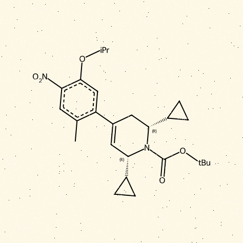 Cc1cc([N+](=O)[O-])c(OC(C)C)cc1C1=C[C@@H](C2CC2)N(C(=O)OC(C)(C)C)[C@@H](C2CC2)C1